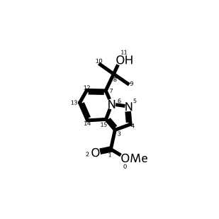 COC(=O)c1cnn2c(C(C)(C)O)cccc12